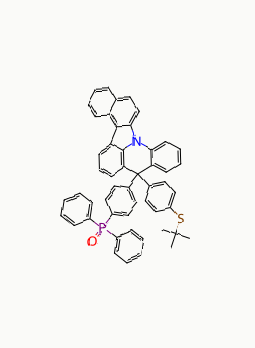 CC(C)(C)Sc1ccc(C2(c3ccc(P(=O)(c4ccccc4)c4ccccc4)cc3)c3ccccc3-n3c4ccc5ccccc5c4c4cccc2c43)cc1